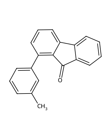 Cc1cccc(-c2cccc3c2C(=O)c2ccccc2-3)c1